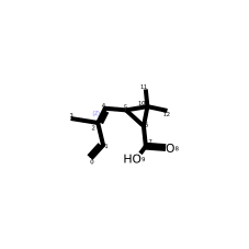 C=C/C(C)=C\C1C(C(=O)O)C1(C)C